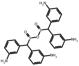 Nc1cccc(C(c2cccc(N)c2)S(=O)OS(=O)C(c2cccc(N)c2)c2cccc(N)c2)c1